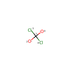 [O]C([O])(Cl)Cl